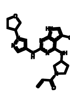 C=CC(=O)N1CCC(Nc2nc(Nc3cnn(C4CCOC4)c3)nc3[nH]cc(Cl)c23)C1